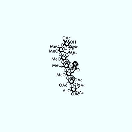 COCC1O[C@@H](O[C@H]2C(OC)C(OC)[C@@H](O[C@H]3C(OC)C(OC)[C@H](O[C@@H]4C(COC(C)=O)O[C@@H](O)C(OC)[C@H]4OC)O[C@H]3COC)O[C@H]2COC)C(OC)[C@@H](OC)[C@@H]1O[C@H]1OC(CN2C(=O)c3ccccc3C2=O)[C@@H](O[C@@H]2O[C@@H](COC(C)=O)[C@@H](O[C@H]3O[C@@H](COC(C)=O)[C@@H](OC(C)=O)C(OC(C)=O)C3OC(C)=O)C(OC(C)=O)C2OC(C)=O)[C@H](OC)C1OC